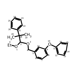 CCOC(OCc1cccc(Oc2ccccc2)c1)C(C)(C)c1ccccc1